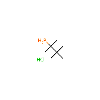 CC(C)(C)C(C)(C)P.Cl